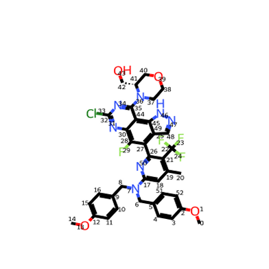 COc1ccc(CN(Cc2ccc(OC)cc2)c2cc(C)c(C(F)(F)F)c(-c3c(F)c4nc(Cl)nc(N5CCOC[C@H]5CO)c4c4[nH]ncc34)n2)cc1